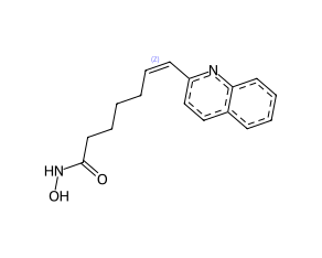 O=C(CCCC/C=C\c1ccc2ccccc2n1)NO